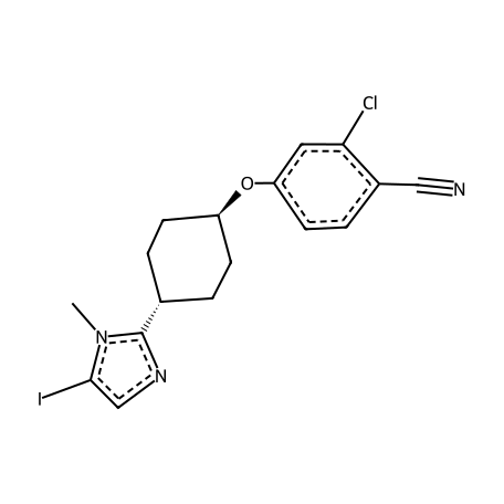 Cn1c(I)cnc1[C@H]1CC[C@H](Oc2ccc(C#N)c(Cl)c2)CC1